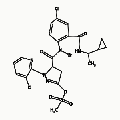 CC(NC(=O)c1cc(Cl)ccc1N(Br)C(=O)C1CC(OS(C)(=O)=O)=NN1c1ncccc1Cl)C1CC1